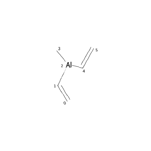 C=[CH][Al]([CH3])[CH]=C